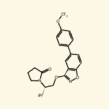 CC(C)[C@@H](COc1noc2ccc(-c3ccc(OC(F)(F)F)cc3)cc12)N1CCCC1=O